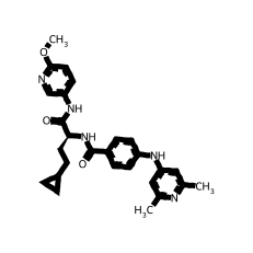 COc1ccc(NC(=O)[C@H](CCC2CC2)NC(=O)c2ccc(Nc3cc(C)nc(C)c3)cc2)cn1